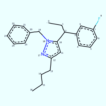 [CH2]CC(c1cccc(F)c1)c1cc(CCCC)nn1Cc1ccccc1